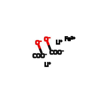 O=C([O-])[O-].O=C([O-])[O-].[Fe+2].[Li+].[Li+]